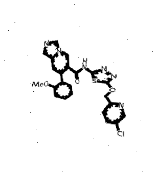 COc1ccccc1-c1cc2cncn2cc1C(=O)Nc1nnc(OCc2ccc(Cl)cn2)s1